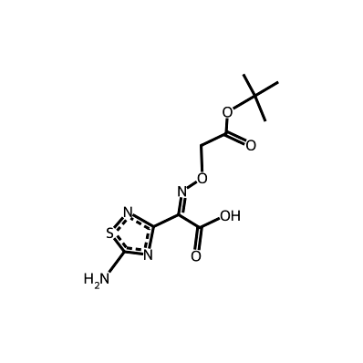 CC(C)(C)OC(=O)CON=C(C(=O)O)c1nsc(N)n1